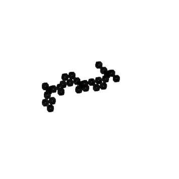 c1ccc(-c2ccc(N(c3ccc(-c4cccc(-c5cccc(-c6cccc(-c7ccc(N(c8ccc(-c9cccc(-c%10cccc(-c%11ccc%12c(c%11)cc(-c%11ccc(N(c%13ccccc%13)c%13ccc(-c%14cccc(-c%15ccccc%15)c%14-c%14ccccc%14)cc%13)cc%11)c%11ccccc%11%12)c%10)c9-c9ccccc9)cc8)c8ccccc8-c8ccccc8)cc7)c6)c5)c4-c4ccccc4)cc3)c3cccc(-c4ccccc4)c3)cc2)cc1